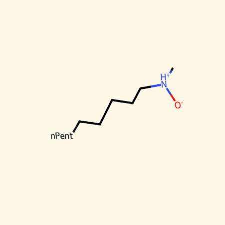 CCCCCCCCCC[NH+](C)[O-]